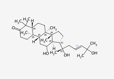 CC(C)(O)/C=C/C[C@](C)(O)[C@H]1CC[C@]2(C)[C@@H]1C(O)C[C@@H]1[C@@]3(C)CCC(=O)C(C)(C)[C@@H]3CC[C@]12C